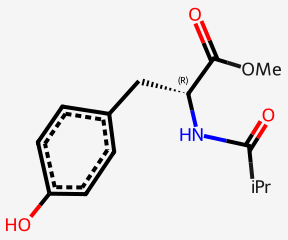 COC(=O)[C@@H](Cc1ccc(O)cc1)NC(=O)C(C)C